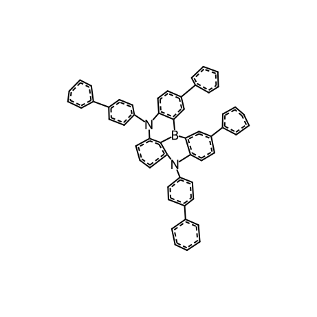 c1ccc(-c2ccc(N3c4ccc(-c5ccccc5)cc4B4c5cc(-c6ccccc6)ccc5N(c5ccc(-c6ccccc6)cc5)c5cccc3c54)cc2)cc1